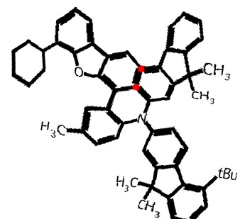 Cc1ccc(N(c2ccc3c(c2)C(C)(C)c2ccccc2-3)c2ccc3c(c2)C(C)(C)c2cccc(C(C)(C)C)c2-3)c(-c2cccc3c2oc2c(C4CCCCC4)cccc23)c1